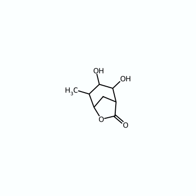 CC1C2CC(C(=O)O2)C(O)C1O